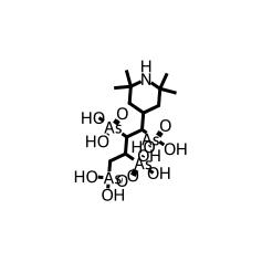 CC1(C)CC(C(C(C(C[As](=O)(O)O)[As](=O)(O)O)[As](=O)(O)O)[As](=O)(O)O)CC(C)(C)N1